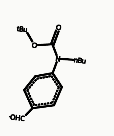 CCCCN(C(=O)OC(C)(C)C)c1ccc([C]=O)cc1